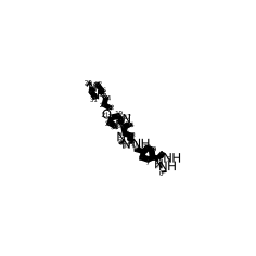 CN/N=C(\C=N)c1ccc(CNc2cc(-c3cnc4cc(OCCCN5CCN(C)CC5)ccn34)ncn2)cc1